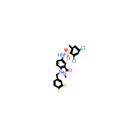 Cc1cc(Cl)cc(Cl)c1S(=O)(=O)Nc1ccc2c(c1)c(=O)n(C)n2Cc1ccc(F)c(F)c1